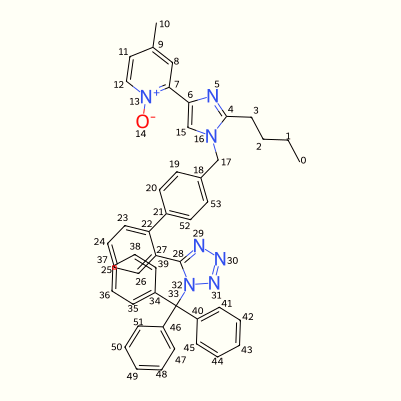 CCCCc1nc(-c2cc(C)cc[n+]2[O-])cn1Cc1ccc(-c2ccccc2-c2nnnn2C(c2ccccc2)(c2ccccc2)c2ccccc2)cc1